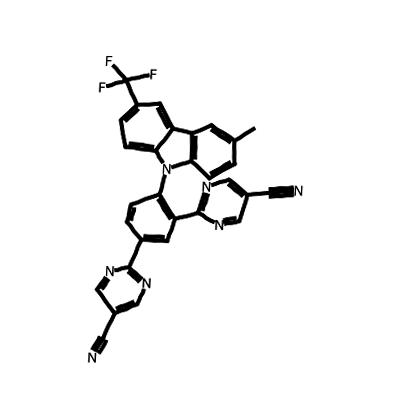 Cc1ccc2c(c1)c1cc(C(F)(F)F)ccc1n2-c1ccc(-c2ncc(C#N)cn2)cc1-c1ncc(C#N)cn1